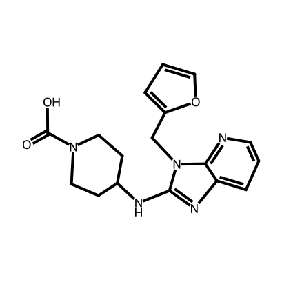 O=C(O)N1CCC(Nc2nc3cccnc3n2Cc2ccco2)CC1